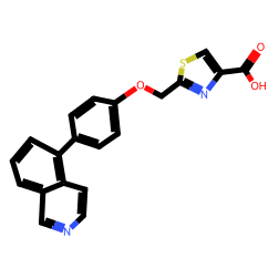 O=C(O)c1csc(COc2ccc(-c3cccc4cnccc34)cc2)n1